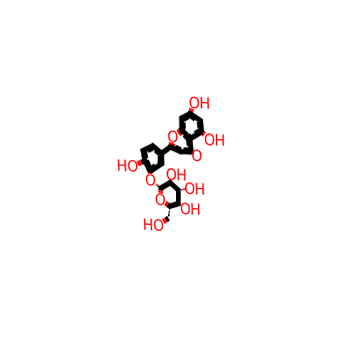 O=c1cc(-c2ccc(O)c(O[C@H]3O[C@@H](CO)[C@H](O)[C@@H](O)[C@@H]3O)c2)oc2cc(O)cc(O)c12